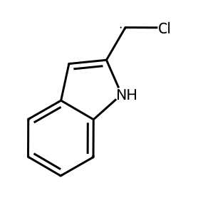 Cl[CH]c1cc2ccccc2[nH]1